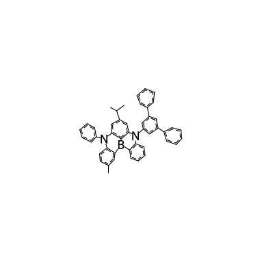 Cc1ccc2c(c1)B1c3ccccc3N(c3cc(-c4ccccc4)cc(-c4ccccc4)c3)c3cc(C(C)C)cc(c31)N2c1ccccc1